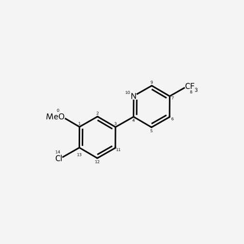 COc1cc(-c2ccc(C(F)(F)F)cn2)ccc1Cl